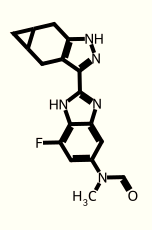 CN(C=O)c1cc(F)c2[nH]c(-c3n[nH]c4c3CC3CC3C4)nc2c1